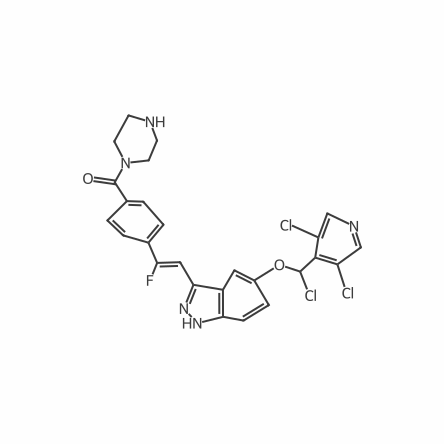 O=C(c1ccc(/C(F)=C/c2n[nH]c3ccc(OC(Cl)c4c(Cl)cncc4Cl)cc23)cc1)N1CCNCC1